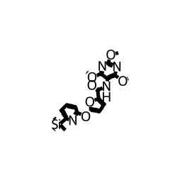 COc1nc(OC)c(NC(=O)c2ccc(Oc3cccc([Si](C)(C)C)n3)o2)c(OC)n1